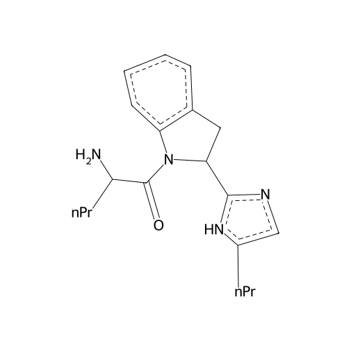 CCCc1cnc(C2Cc3ccccc3N2C(=O)C(N)CCC)[nH]1